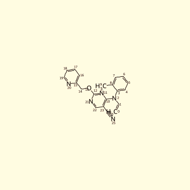 C=CN(c1ccccc1C)c1nc(OCc2ccccn2)ncc1C#N